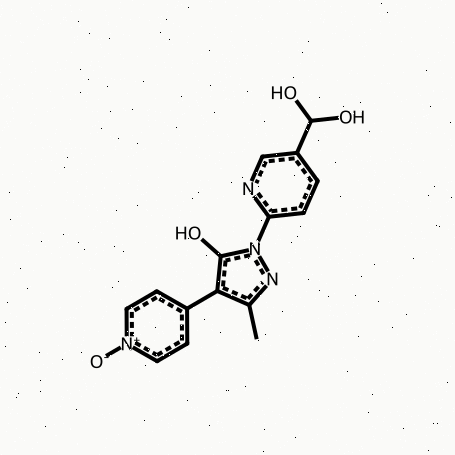 Cc1nn(-c2ccc(C(O)O)cn2)c(O)c1-c1cc[n+]([O-])cc1